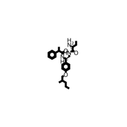 CCCC(C)COc1ccc([C@H](CNC(=O)[C@@H](N)CC)NC(=O)C(C)c2ccccc2)cc1